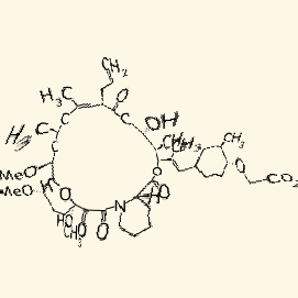 C=CC[C@@H]1/C=C(\C)C[C@H](C)C[C@H](OC)[C@H]2O[C@@](O)(C(=O)C(=O)N3CCCC[C@H]3C(=O)O[C@H](/C(C)=C/C3CC[C@@H](OCC(=O)O)[C@H](C)C3)[C@H](C)[C@@H](O)CC1=O)[C@H](C)C[C@@H]2OC